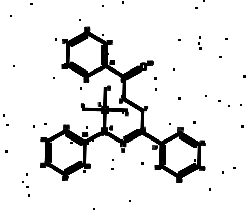 C[Si](C)(C)N(N=C(CCC(=O)c1ccccc1)c1ccccc1)c1ccccc1